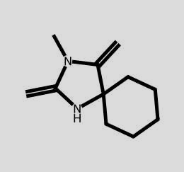 C=C1NC2(CCCCC2)C(=C)N1C